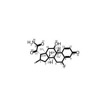 CC1C[C@H]2[C@@H]3CC(F)C4=CC(=O)C=C[C@]4(C)[C@H]3C(O)C[C@]2(C)[C@H]1C(=O)C(N)=O